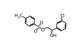 Cc1ccc(S(=O)(=O)OCC(O)c2cccc(Cl)c2)cc1